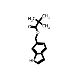 CC(C)(C)C(=O)OCc1ccc2cc[nH]c2c1